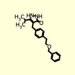 CC(C)c1[nH][nH]c(=O)c1Cc1ccc(CCOCc2ccccc2)cc1